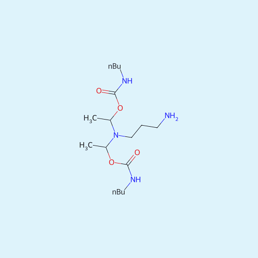 CCCCNC(=O)OC(C)N(CCCN)C(C)OC(=O)NCCCC